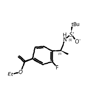 C=C(OCC)c1ccc([C@H](C)N[S@+]([O-])C(C)(C)C)c(F)c1